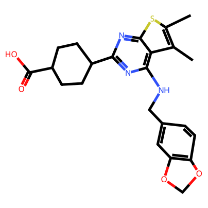 Cc1sc2nc(C3CCC(C(=O)O)CC3)nc(NCc3ccc4c(c3)OCO4)c2c1C